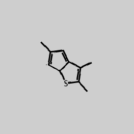 CC1=[C]C2SC(C)=C(C)C2=C1